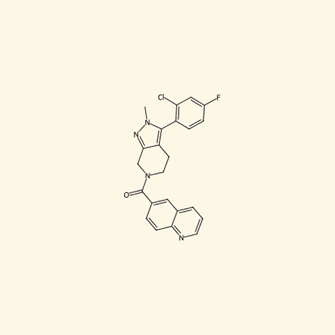 Cn1nc2c(c1-c1ccc(F)cc1Cl)CCN(C(=O)c1ccc3ncccc3c1)C2